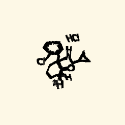 Cl.[2H]C1([2H])CCCC(NCC2CC2)(c2ccccc2Cl)C1=O